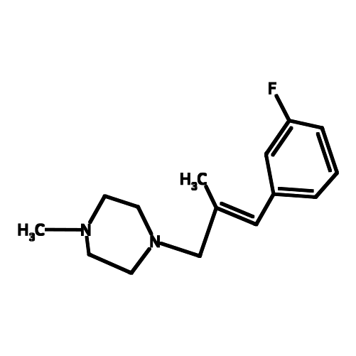 C/C(=C\c1cccc(F)c1)CN1CCN(C)CC1